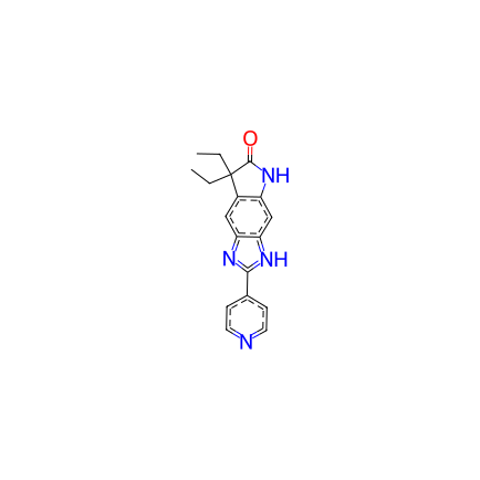 CCC1(CC)C(=O)Nc2cc3[nH]c(-c4ccncc4)nc3cc21